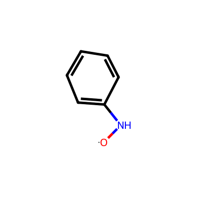 [O]Nc1ccccc1